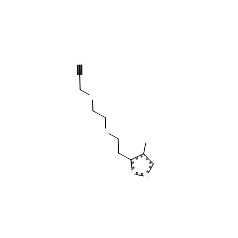 C#CCOCCOCCc1n[nH]cc1C(=O)O